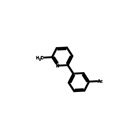 CC(=O)c1cccc(-c2cccc(C)n2)c1